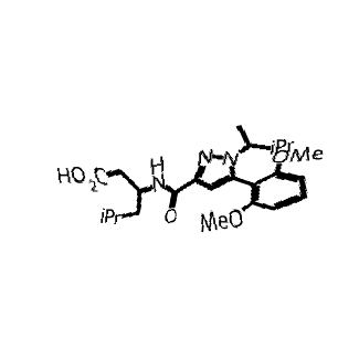 COc1cccc(OC)c1-c1cc(C(=O)NC(CC(=O)O)CC(C)C)nn1C(C)C(C)C